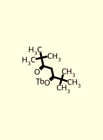 CC(C)(C)C(=O)CC(=O)C(C)(C)C.[Tb]